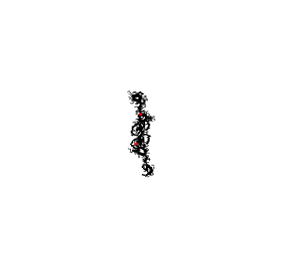 Cc1cc(C=Cc2cccs2)cc(C)c1OC(=O)CCC(=O)Oc1c(C)cc(C=Cc2cccs2)cc1C